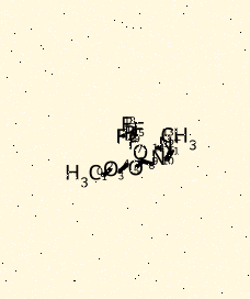 CCOCCOC(=O)Cn1cc[n+](C)c1.F[B-](F)(F)F